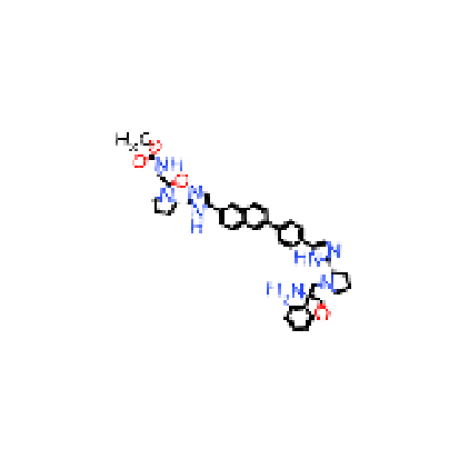 COC(=O)NCC(=O)N1CCC[C@H]1c1ncc(-c2ccc3cc(-c4ccc(-c5cnc([C@@H]6CCCN6C[C@](N)(C=O)c6ccccc6)[nH]5)cc4)ccc3c2)[nH]1